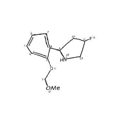 COCOc1ccccc1C1CC(F)CN1